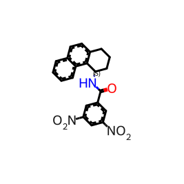 O=C(N[C@H]1CCCc2ccc3ccccc3c21)c1cc([N+](=O)[O-])cc([N+](=O)[O-])c1